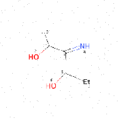 [CH2]C(O)C(=N)C(O)CC